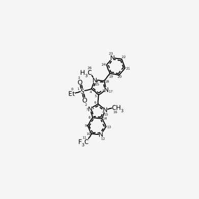 CCS(=O)(=O)c1c(-c2nc3cc(C(F)(F)F)ncc3n2C)nc(-c2cccnc2)n1C